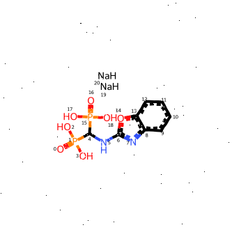 O=P(O)(O)C(Nc1nc2ccccc2o1)P(=O)(O)O.[NaH].[NaH]